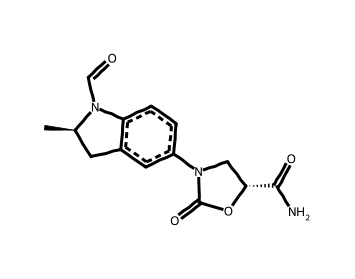 C[C@@H]1Cc2cc(N3C[C@H](C(N)=O)OC3=O)ccc2N1C=O